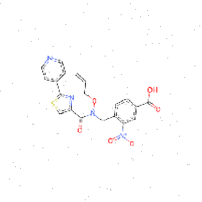 C=CCON(Cc1ccc(C(=O)O)cc1[N+](=O)[O-])C(=O)c1csc(-c2ccncc2)n1